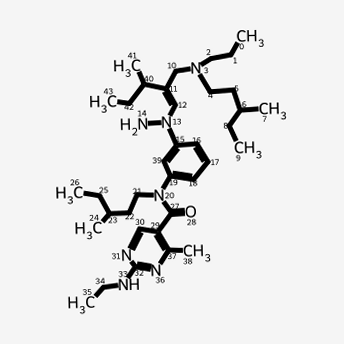 CCCN(CCC(C)CC)C/C(=C/N(N)c1cccc(N(CCC(C)CC)C(=O)c2cnc(NCC)nc2C)c1)C(C)CC